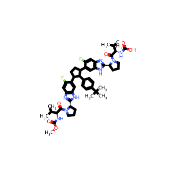 COC(=O)N[C@H](C(=O)N1CCC[C@H]1c1nc2cc(F)c(C3CCC(c4cc5[nH]c([C@@H]6CCCN6C(=O)[C@@H](NC(=O)O)C(C)C)nc5cc4F)C3c3ccc(C(C)(C)C)cc3)cc2[nH]1)C(C)C